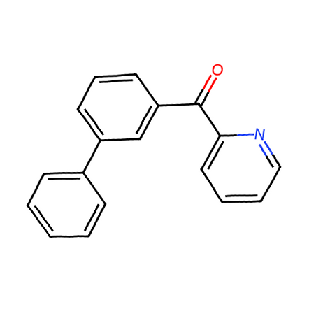 O=C(c1cccc(-c2ccccc2)c1)c1ccccn1